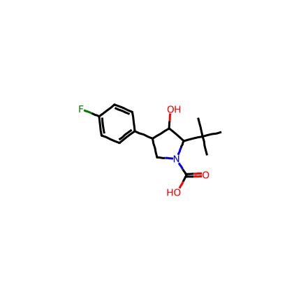 CC(C)(C)C1C(O)C(c2ccc(F)cc2)CN1C(=O)O